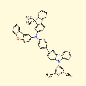 Cc1cc(C)cc(-n2c3ccccc3c3cc(-c4ccc(N(c5ccc6c(c5)C(C)(C)c5ccccc5-6)c5ccc6oc7ccccc7c6c5)cc4)ccc32)c1